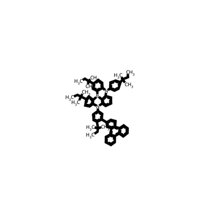 CCC(C)(C)c1ccc(N2c3ccc(C(C)(C)CC)cc3B3c4cc(C(C)(C)CC)ccc4N(c4ccc(C(C)(C)CC)c(-c5ccc6c7ccccc7c7ccccc7c6c5)c4)c4cccc2c43)cc1